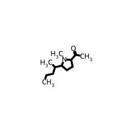 CCCC(C)C1CCC(C(C)=O)N1C